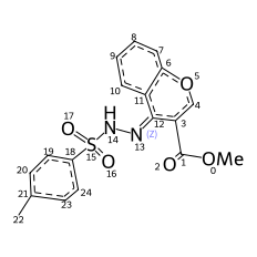 COC(=O)c1coc2ccccc2/c1=N\NS(=O)(=O)c1ccc(C)cc1